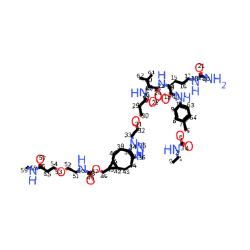 CCNC(=O)OCc1ccc(NC(=O)[C@H](CCCNC(N)=O)NC(=O)[C@@H](NC(=O)CCOCCn2nnc3c2CCC2C(CC3)C2COC(=O)NCCOCCC(=O)NC)C(C)C)cc1